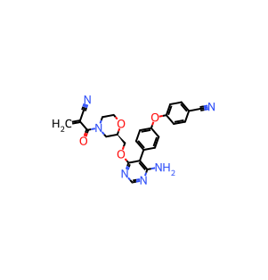 C=C(C#N)C(=O)N1CCO[C@@H](COc2ncnc(N)c2-c2ccc(Oc3ccc(C#N)cc3)cc2)C1